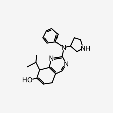 CC(C)C1C(O)=CCc2cnc(N(c3ccccc3)C3CCNC3)nc21